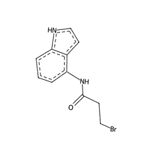 O=C(CCBr)Nc1cccc2[nH]ccc12